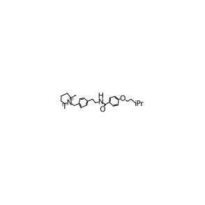 CC(C)CCOc1ccc(C(=O)NCCc2ccc(CN3[C@H](C)CCC[C@@H]3C)cc2)cc1